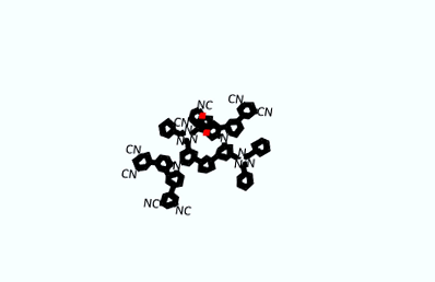 [C-]#[N+]c1cc(C#N)cc(-c2ccc3c(c2)c2cc(-c4cc([N+]#[C-])cc([N+]#[C-])c4)ccc2n3-c2cc(-c3cccc(-c4cc(-c5nc(-c6ccccc6)nc(-c6ccccc6)n5)cc(-n5c6ccc(-c7cc(C#N)cc([N+]#[C-])c7)cc6c6cc(-c7cc([N+]#[C-])cc([N+]#[C-])c7)ccc65)c4)c3)cc(-c3nc(-c4ccccc4)nc(-c4ccccc4)n3)c2)c1